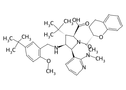 COc1ccc(C(C)(C)C)cc1CN[C@H]1[C@H](C(C)(C)C)[C@@H](C(=O)O)N(C(=O)[C@@H]2CCc3ccccc3O2)[C@H]1c1cccnc1N(C)C